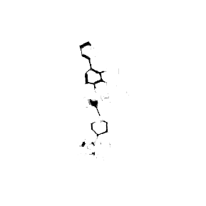 Cc1c(NC(=O)N2CCC(NS(=O)(=O)C(C)C)CC2)ccc(-c2ccco2)c1C